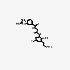 N=C(N)Nc1cccc(C(=O)NCC(=O)Nc2cc(Cl)cc(CCC(=O)O)c2O)c1